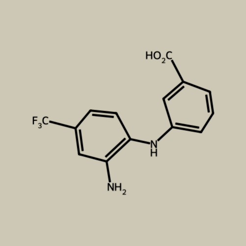 Nc1cc(C(F)(F)F)ccc1Nc1cccc(C(=O)O)c1